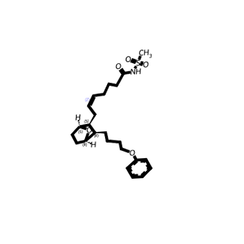 CS(=O)(=O)NC(=O)CCC/C=C\C[C@H]1[C@@H](CCCCOc2ccccc2)[C@H]2CC[C@@H]1O2